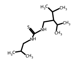 CC(C)CNC(=S)NCC(C(C)C)C(C)C